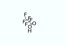 O=C(O)C(F)(F)C(F)(F)CF